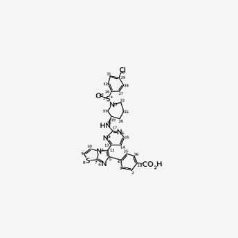 O=C(O)c1ccc(-c2nc3sccn3c2-c2ccnc(N[C@@H]3CCCN([S+]([O-])c4ccc(Cl)cc4)C3)n2)cc1